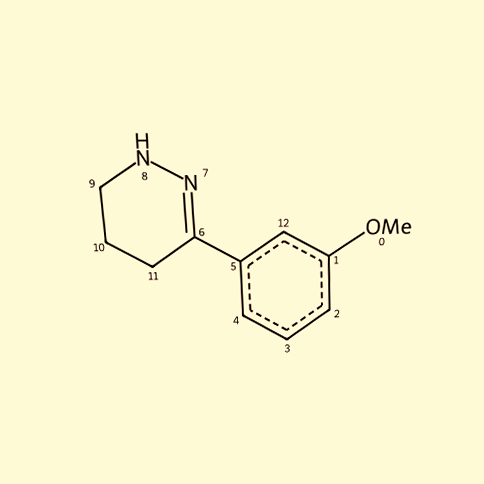 COc1cccc(C2=NNCCC2)c1